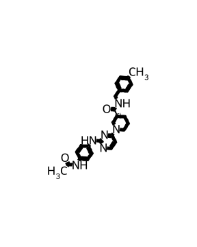 CC(=O)Nc1ccc(Nc2nccc(N3CCC[C@H](C(=O)NCc4ccc(C)cc4)C3)n2)cc1